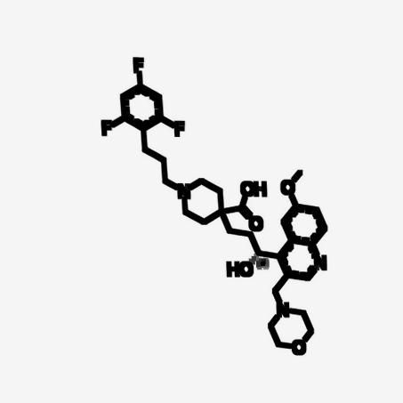 COc1ccc2ncc(CN3CCOCC3)c([C@H](O)CCC3(C(=O)O)CCN(CCCc4c(F)cc(F)cc4F)CC3)c2c1